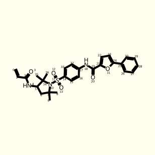 C=CC(=O)NC1CC(C)(C)N(S(=O)(=O)c2ccc(NC(=O)c3ccc(-c4ccccc4)o3)cc2)C1(C)C